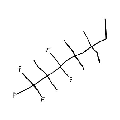 CCC(C)(C)C(C)(C)C(F)(F)C(C)(C)C(F)(F)F